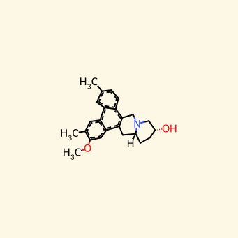 COc1cc2c3c(c4ccc(C)cc4c2cc1C)CN1C[C@H](O)CC[C@@H]1C3